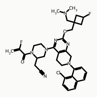 C=C(F)C(=O)N1CCN(c2nc(OCC3(CN(C)C)CC(F)C3)nc3c2CCN(c2cccc4cccc(Cl)c24)C3)CC1CC#N